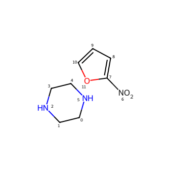 C1CNCCN1.O=[N+]([O-])c1ccco1